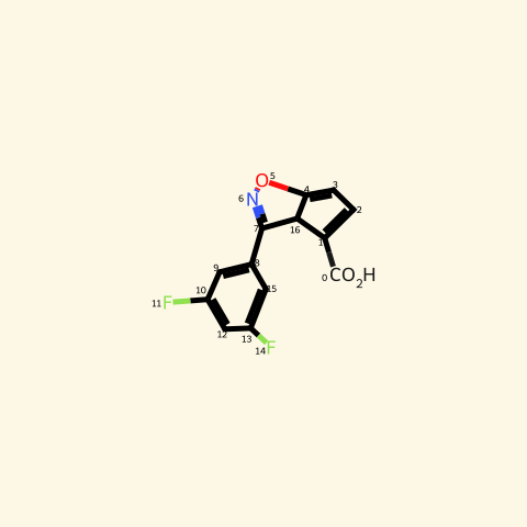 O=C(O)C1=CC=C2ON=C(c3cc(F)cc(F)c3)C21